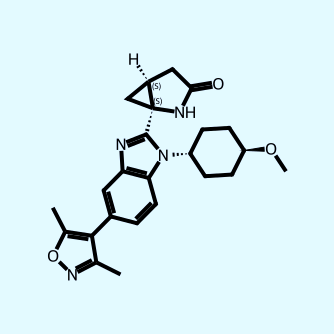 CO[C@H]1CC[C@H](n2c([C@]34C[C@H]3CC(=O)N4)nc3cc(-c4c(C)noc4C)ccc32)CC1